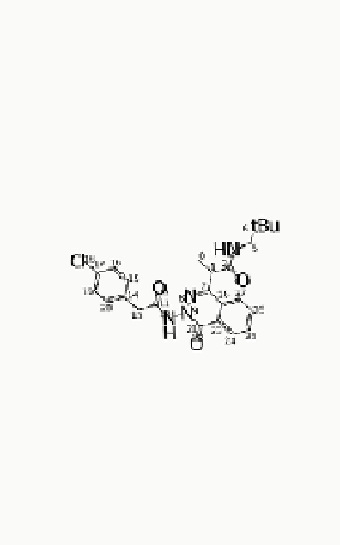 CC(C(=O)NCC(C)(C)C)c1nn(NC(=O)Cc2ccc(Cl)cc2)c(=O)c2ccccc12